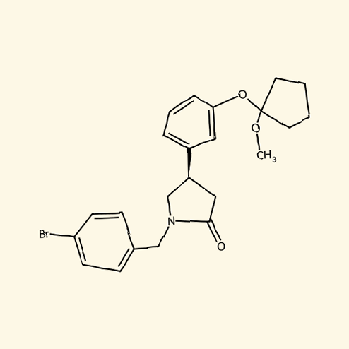 COC1(Oc2cccc([C@H]3CC(=O)N(Cc4ccc(Br)cc4)C3)c2)CCCC1